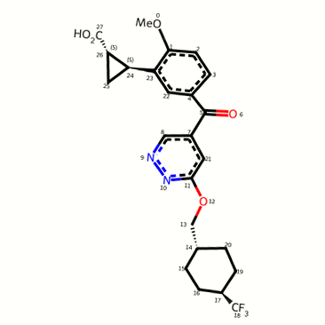 COc1ccc(C(=O)c2cnnc(OC[C@H]3CC[C@H](C(F)(F)F)CC3)c2)cc1[C@H]1C[C@@H]1C(=O)O